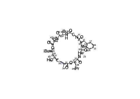 CCC(C)C1NC(=O)CN(C)C(=O)[C@@H](Cc2ccccc2)N(C)C(=O)[C@H](C)NC(=O)[C@@H](CC(C)C)OC(=O)/C(C)=C/C[C@H](O)[C@H](C)[C@@H]([C@@H](C)CC)OC(=O)[C@@H](C)NC1=O